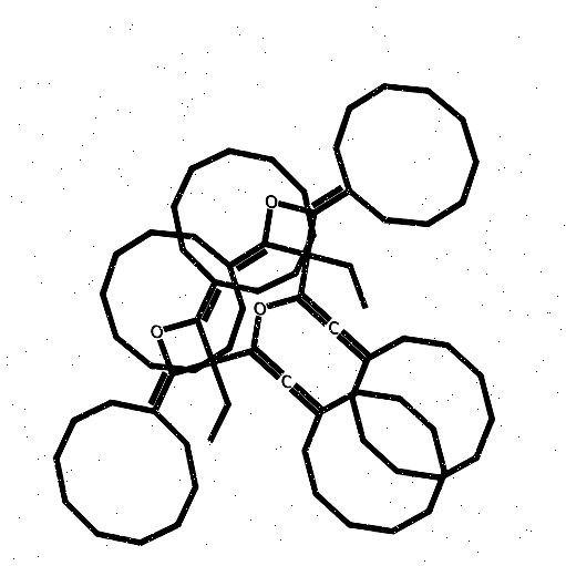 CCC1(C(=C=C2CCCCCCCCC2)OC(=C=C2CCCCCCCCC2)C2(CC)C(=C3CCCCCCCCC3)OC2=C2CCCCCCCCC2)C(=C2CCCCCCCCC2)OC1=C1CCCCCCCCC1